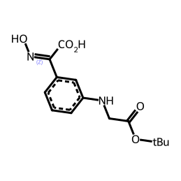 CC(C)(C)OC(=O)CNc1cccc(/C(=N/O)C(=O)O)c1